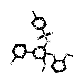 COc1ccccc1Oc1c(NS(=O)(=O)c2ccc(C)cn2)nc(-c2cccc([O])c2)nc1OC